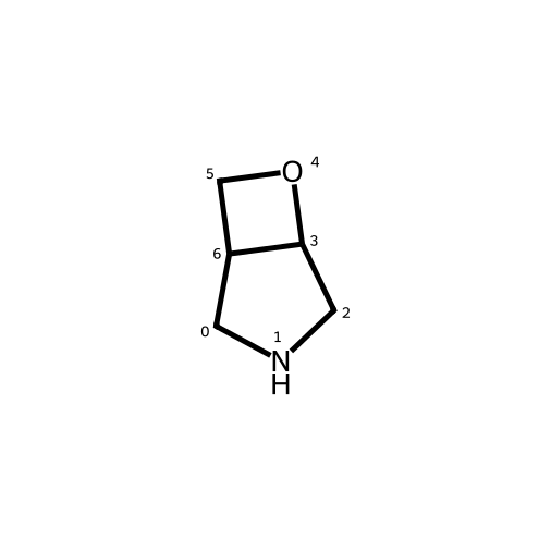 C1NCC2OCC12